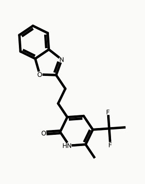 Cc1[nH]c(=O)c(CCc2nc3ccccc3o2)cc1C(C)(F)F